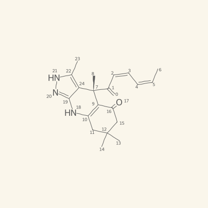 C=C(/C=C\C=C/C)[C@]1(C)C2=C(CC(C)(C)CC2=O)Nc2n[nH]c(C)c21